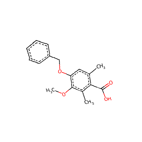 COc1c(OCc2ccccc2)cc(C)c(C(=O)O)c1C